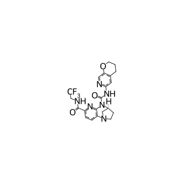 O=C(NCC(F)(F)F)c1ccc2c(n1)N(C(=O)Nc1cc3c(cn1)OCCC3)[C@H]1CCN2C1